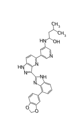 CC(C)CC(O)Nc1cncc(-c2ccc3[nH]nc(-c4nc5c(-c6ccc7c(c6)OCO7)cccc5[nH]4)c3n2)c1